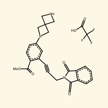 COC(=O)c1ccc(N2CC3(CNC3)C2)cc1C#CCN1C(=O)c2ccccc2C1=O.O=C(O)C(F)(F)F